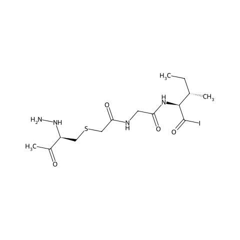 CC[C@H](C)[C@H](NC(=O)CNC(=O)CSC[C@H](NN)C(C)=O)C(=O)I